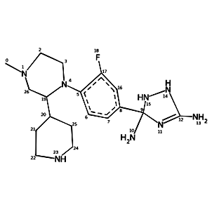 CN1CCN(c2ccc(C3(N)N=C(N)NN3)cc2F)C(C2CCNCC2)C1